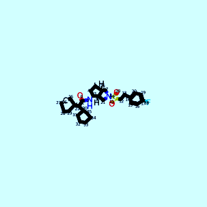 O=C(N[C@H]1CC[C@H]2CN(S(=O)(=O)CCc3ccc(F)cc3)C[C@H]21)C(C1CCCCC1)C1CCCCC1